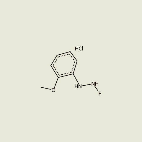 COc1ccccc1NNF.Cl